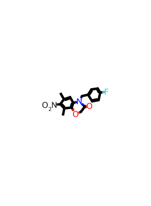 Cc1cc2c(c(C)c1[N+](=O)[O-])OCC(=O)N2Cc1ccc(F)cc1